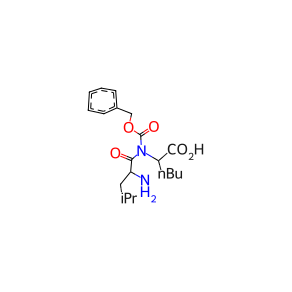 CCCCC(C(=O)O)N(C(=O)OCc1ccccc1)C(=O)C(N)CC(C)C